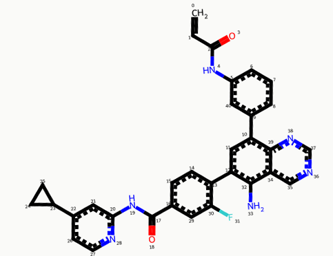 C=CC(=O)Nc1cccc(-c2cc(-c3ccc(C(=O)Nc4cc(C5CC5)ccn4)cc3F)c(N)c3cncnc23)c1